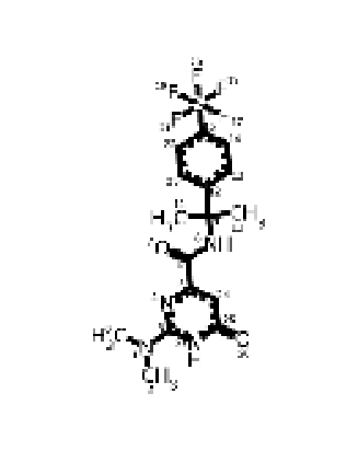 CN(C)c1nc(C(=O)NC(C)(C)c2ccc(S(F)(F)(F)(F)F)cc2)cc(=O)[nH]1